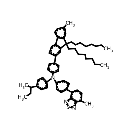 CCCCCCCCC1(CCCCCCCC)c2cc(C)ccc2-c2ccc(-c3ccc(N(c4ccc(-c5ccc(C)c6nsnc56)cc4)c4ccc(C(C)CC)cc4)cc3)cc21